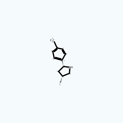 F[C@H]1CN[C@@H](c2ccc(C(F)(F)F)cc2)C1